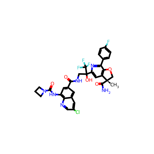 C[C@]1(C(N)=O)COc2c1cc(C(O)(CNC(=O)c1cc(NC(=O)N3CCC3)c3ncc(Cl)cc3c1)C(F)(F)F)nc2-c1ccc(F)cc1